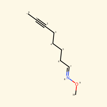 [CH2]C#CCCCCC=NOC